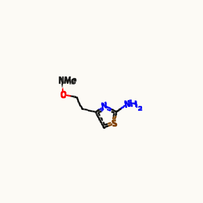 CNOCCc1csc(N)n1